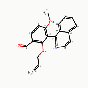 C=CCOc1c(C=O)ccc(OC)c1-c1nccc2ccccc12